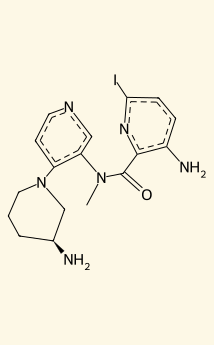 CN(C(=O)c1nc(I)ccc1N)c1cnccc1N1CCC[C@H](N)C1